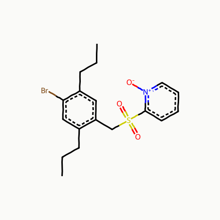 CCCc1cc(CS(=O)(=O)c2cccc[n+]2[O-])c(CCC)cc1Br